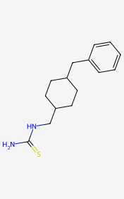 NC(=S)NCC1CCC(Cc2ccccc2)CC1